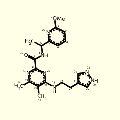 COc1cccc(C(C)NC(=O)c2nc(C)c(C)c(NCCc3cn[nH]c3)n2)n1